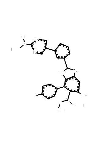 Cc1cc2c(c(-c3ccc(Cl)cc3)c1[C@H](OC(C)(C)C)C(=O)O)SC(c1cccc(-c3cnc(N(C)C)nc3)c1)N2